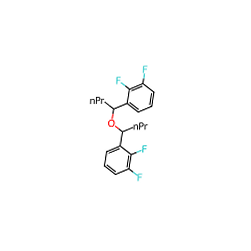 CCCC(OC(CCC)c1cccc(F)c1F)c1cccc(F)c1F